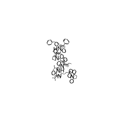 CC[C@H](C)[C@@H]([C@@H](CC(=O)N1CCC[C@H]1[C@H](OC)[C@@H](C)C(=O)N[C@H](COCc1ccccc1)[C@@H](C)c1ccccc1)OC)N(C)C(=O)[C@@H](NC(=O)[C@H](C(C)C)N(C)CCCC(=O)ON1C(=O)CCC1=O)C(C)C